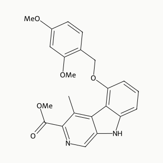 COC(=O)c1ncc2[nH]c3cccc(OCc4ccc(OC)cc4OC)c3c2c1C